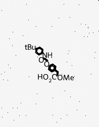 COC(Cc1ccc(OCC(=O)NC2CCC(C(C)(C)C)CC2)cc1)C(=O)O